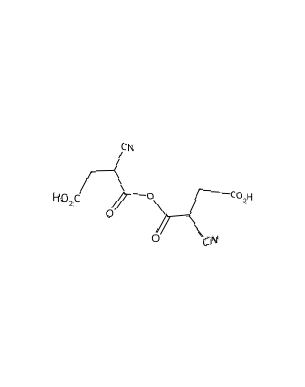 N#CC(CC(=O)O)C(=O)OC(=O)C(C#N)CC(=O)O